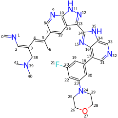 C=N/C=C(\C=C(/C)c1cnc2[nH]nc(-c3nc4c(-c5cc(F)cc(N6CCOCC6)c5)cncc4[nH]3)c2c1)CN(C)C